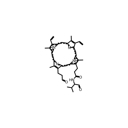 C=CC1=C(C)c2cc3[nH]c(cc4nc(cc5[nH]c(cc1n2)c(C)c5CCC(=O)NC(C=O)C(C)C)C(CCC=O)=C4C)c(C)c3C=C